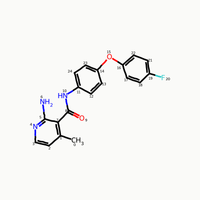 Cc1ccnc(N)c1C(=O)Nc1ccc(Oc2ccc(F)cc2)cc1